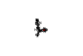 C[C@@H](Cn1cnnn1)Oc1cc(-c2cnc(Nc3cn(C4CCC(N5[C@@H]6CC[C@H]5COC6)CC4)nc3OCCOC(F)F)nc2)ccc1C#N